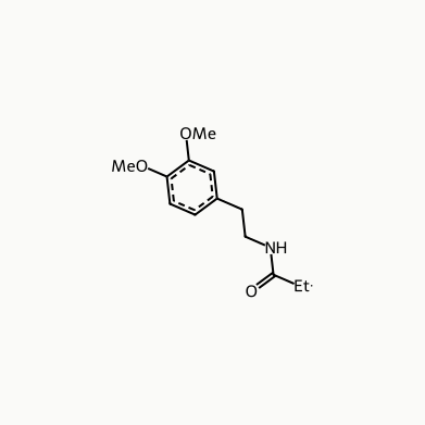 C[CH]C(=O)NCCc1ccc(OC)c(OC)c1